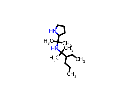 CCCC(CC)C(C)(C)NC(C)(C)C1CCCN1